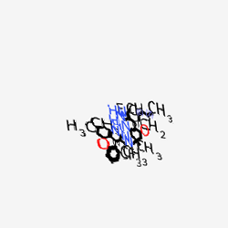 C=C(/C(=C\C=C/C)C(F)(F)F)[C@@H]1C2=C(CC(C)(Cn3nc4c(c3C)[C@@H](c3ccccc3C(F)(F)F)C3=C(CC(C)(C)CC3=O)N4)CC2=O)Nc2n[nH]c(C)c21